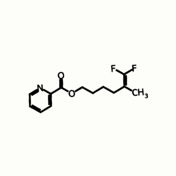 CC(CCCCOC(=O)c1ccccn1)=C(F)F